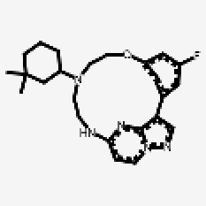 CC1(C)CCCC(N2CCNc3ccn4ncc(c4n3)-c3cc(F)cc(c3)OCC2)C1